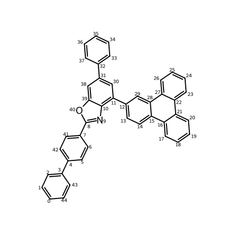 c1ccc(-c2ccc(-c3nc4c(-c5ccc6c7ccccc7c7ccccc7c6c5)cc(-c5ccccc5)cc4o3)cc2)cc1